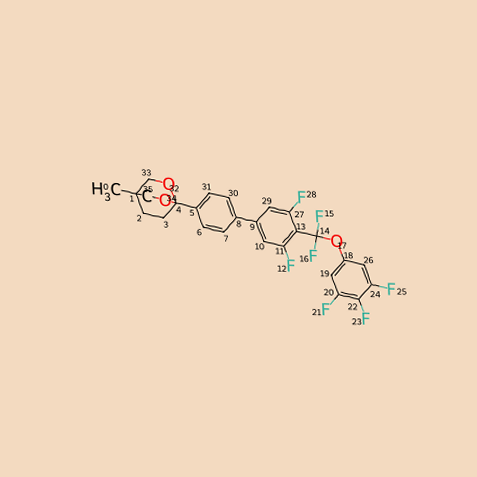 CC12CCC(c3ccc(-c4cc(F)c(C(F)(F)Oc5cc(F)c(F)c(F)c5)c(F)c4)cc3)(OC1)OC2